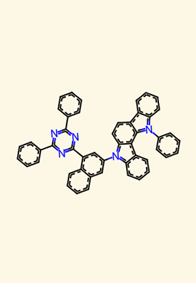 c1ccc(-c2nc(-c3ccccc3)nc(-c3cc(-n4c5ccccc5c5c4ccc4c6ccccc6n(-c6ccccc6)c45)cc4ccccc34)n2)cc1